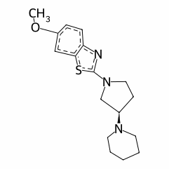 COc1ccc2nc(N3CC[C@@H](N4CCCCC4)C3)sc2c1